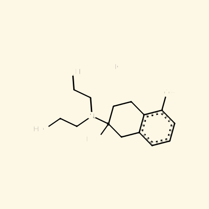 CCCN(CCC)C1(C)CCc2c(O)cccc2C1.Cl